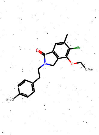 COCOc1c(Br)c(C)cc2c1CN(CCc1ccc(OC)cc1)C2=O